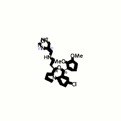 C/N=N\C(=C/NCC[C@H]1O[C@H](c2cccc(OC)c2OC)c2cc(Cl)ccc2-n2cccc21)CC#N